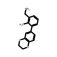 Cc1c(CN)cccc1-c1ccc2c(c1)OCCO2